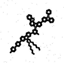 CCCCCCCCC1(CCCCCCCC)c2cc(-c3ccc(-c4ccc(C)cc4)cc3)ccc2-c2ccc(-c3cc(C)cc(-n4c5ccc(-c6ccc7c(c6)c6ccccc6n7-c6ccccc6)cc5c5c6sc7ccccc7c6ccc54)c3)cc21